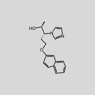 C[C@H](O)[C@@H](CCOc1ccc2ccccc2c1)n1ccnc1